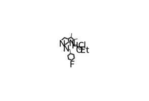 CCOCCn1c(C)c(C)c2ccnc(N(C)Cc3ccc(F)cc3)c21.Cl